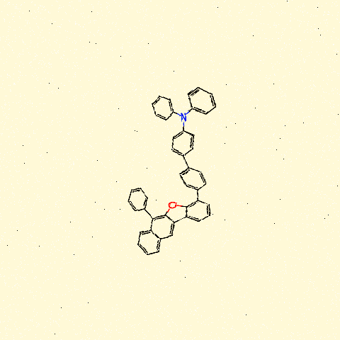 c1ccc(-c2c3ccccc3cc3c2oc2c(-c4ccc(-c5ccc(N(c6ccccc6)c6ccccc6)cc5)cc4)cccc23)cc1